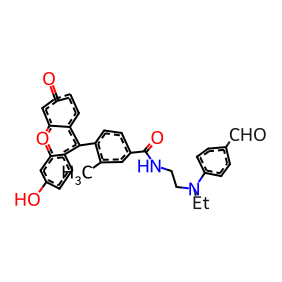 CCN(CCNC(=O)c1ccc(-c2c3ccc(=O)cc-3oc3cc(O)ccc23)c(C)c1)c1ccc(C=O)cc1